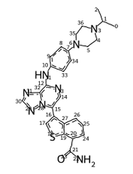 CC(C)N1CCN(c2ccc(Nc3ncc(-c4csc5c(C(N)=O)cccc45)n4ncnc34)cc2)CC1